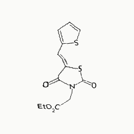 CCOC(=O)CN1C(=O)SC(=Cc2cccs2)C1=O